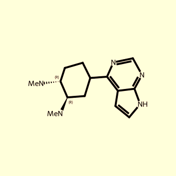 CN[C@@H]1CCC(c2ncnc3[nH]ccc23)C[C@H]1NC